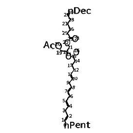 CCCCCC=CCC=CCC=CCC=CCCCC(=O)OC(COC(C)=O)COC(=O)CCCCCCCCCCCCCCC